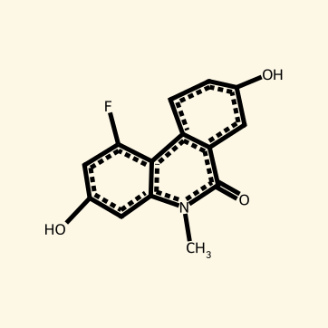 Cn1c(=O)c2cc(O)ccc2c2c(F)cc(O)cc21